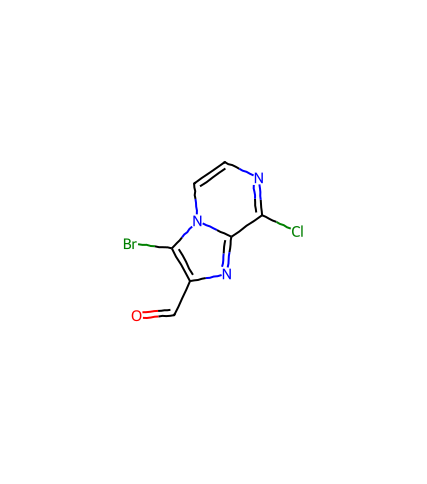 O=Cc1nc2c(Cl)nccn2c1Br